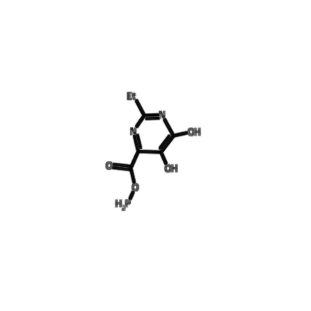 CCc1nc(O)c(O)c(C(=O)OP)n1